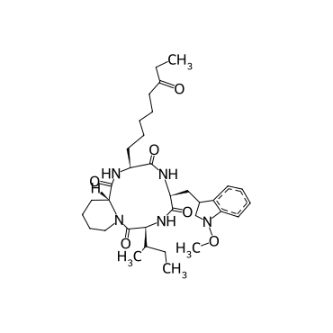 CCC(=O)CCCCC[C@@H]1NC(=O)[C@H]2CCCCN2C(=O)[C@H](C(C)CC)NC(=O)[C@H](CC2CN(OC)c3ccccc32)NC1=O